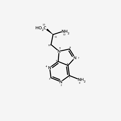 Nc1ncnc2c1ncn2C[C@H](N)C(=O)O